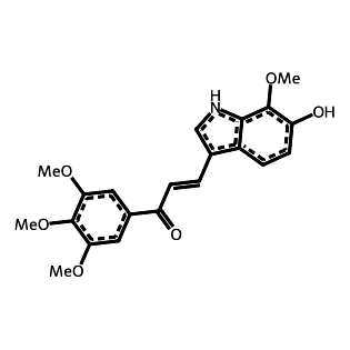 COc1cc(C(=O)C=Cc2c[nH]c3c(OC)c(O)ccc23)cc(OC)c1OC